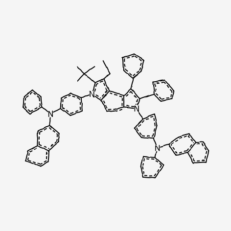 CCc1c(C(C)(C)C)n(-c2ccc(N(c3ccccc3)c3ccc4ccccc4c3)cc2)c2ccc3c(c(-c4ccccc4)c(-c4ccccc4)n3-c3ccc(N(c4ccccc4)c4ccc5ccccc5c4)cc3)c12